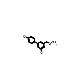 NOCc1cc(Cl)cc(-c2ccc(Cl)cc2)c1